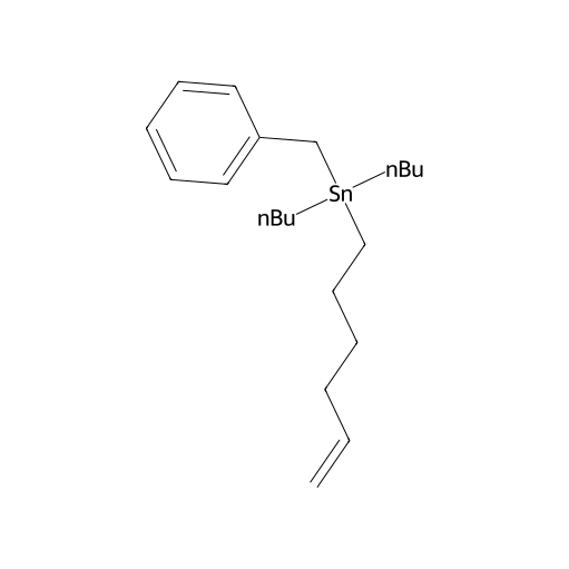 C=CCCC[CH2][Sn]([CH2]CCC)([CH2]CCC)[CH2]c1ccccc1